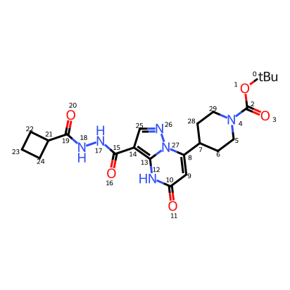 CC(C)(C)OC(=O)N1CCC(c2cc(=O)[nH]c3c(C(=O)NNC(=O)C4CCC4)cnn23)CC1